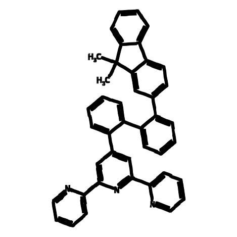 CC1(C)c2ccccc2-c2ccc(-c3ccccc3-c3ccccc3-c3cc(-c4ccccn4)nc(-c4ccccn4)c3)cc21